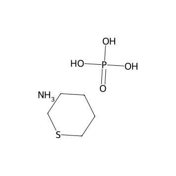 C1CCSCC1.N.O=P(O)(O)O